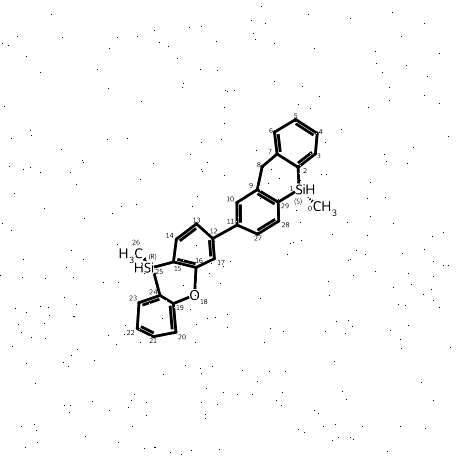 C[Si@H]1c2ccccc2Cc2cc(-c3ccc4c(c3)Oc3ccccc3[Si@H]4C)ccc21